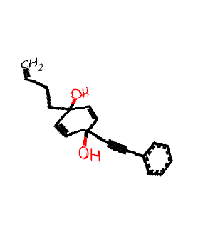 C=CCCC1(O)C=CC(O)(C#Cc2ccccc2)C=C1